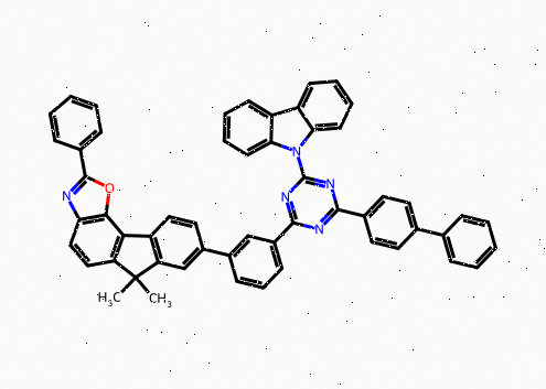 CC1(C)c2cc(-c3cccc(-c4nc(-c5ccc(-c6ccccc6)cc5)nc(-n5c6ccccc6c6ccccc65)n4)c3)ccc2-c2c1ccc1nc(-c3ccccc3)oc21